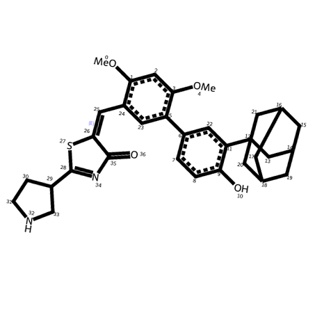 COc1cc(OC)c(-c2ccc(O)c(C34CC5CC(CC(C5)C3)C4)c2)cc1/C=C1/SC(C2CCNC2)=NC1=O